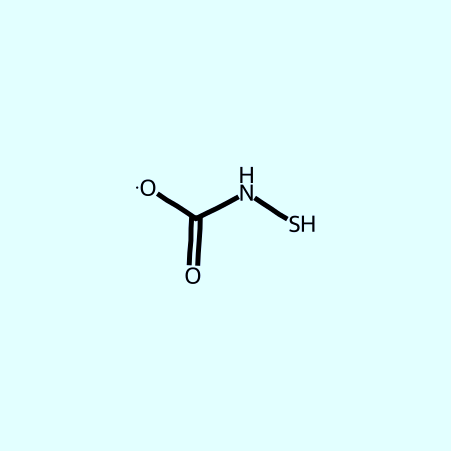 [O]C(=O)NS